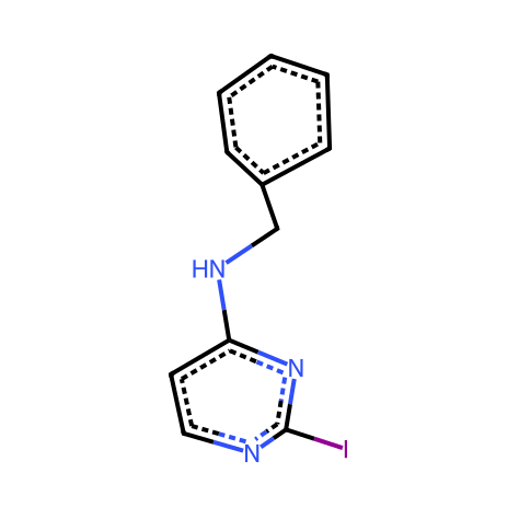 Ic1nccc(NCc2ccccc2)n1